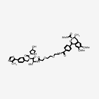 CNC(=O)N1N=C(c2ccc(C(=O)NCCOCCOCC(=O)N[C@H](C(=O)N(Cc3ccc(-c4scnc4C)cc3)C(=O)[C@@H]3C[C@@H](O)CN3)C(C)(C)C)cc2)c2cc(OC)c(OC)cc2C[C@@H]1C